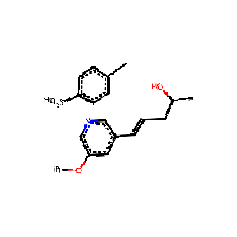 CC(C)Oc1cncc(/C=C/C[C@H](C)O)c1.Cc1ccc(S(=O)(=O)O)cc1